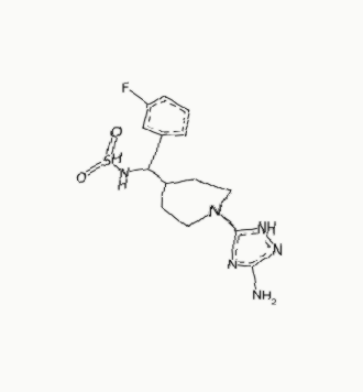 Nc1n[nH]c(N2CCC(C(N[SH](=O)=O)c3cccc(F)c3)CC2)n1